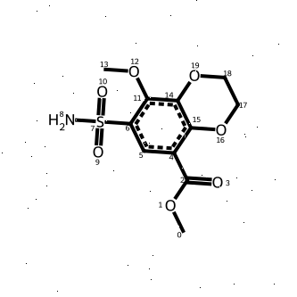 COC(=O)c1cc(S(N)(=O)=O)c(OC)c2c1OCCO2